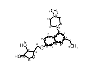 CCc1cc(N2CCN(C)CC2)c2ccc(OCC3OCC(O)C3O)cc2n1